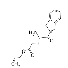 C=CCOC(=O)CCC(N)C(=O)N1Cc2ccccc2C1